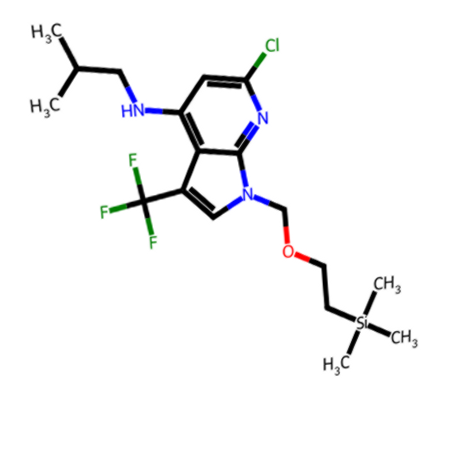 CC(C)CNc1cc(Cl)nc2c1c(C(F)(F)F)cn2COCC[Si](C)(C)C